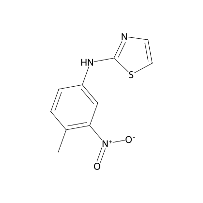 Cc1ccc(Nc2nccs2)cc1[N+](=O)[O-]